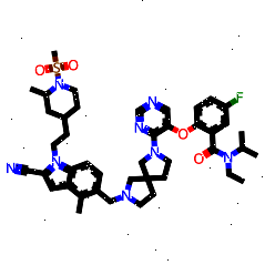 CCN(C(=O)c1cc(F)ccc1Oc1cncnc1N1CCC2(CCN(Cc3ccc4c(cc(C#N)n4CCC4CCN(S(C)(=O)=O)C(C)C4)c3C)C2)C1)C(C)C